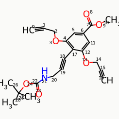 C#CCOc1cc(C(=O)OC)cc(OCC#C)c1C#CCNC(=O)OC(C)(C)C